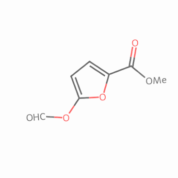 COC(=O)c1ccc(OC=O)o1